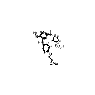 COCCOc1ccc(Nc2nc(N[C@@H]3CC[C@@H](C(=O)O)C3)ncc2N=N)cc1